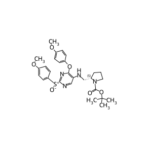 COc1ccc(Oc2nc([S+]([O-])c3ccc(OC)cc3)ncc2NC[C@@H]2CCCN2C(=O)OC(C)(C)C)cc1